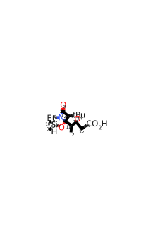 CCN1C(=O)C(C(C)(C)C)C1(O[SiH](C)C)C(C)C(=O)CC(=O)O